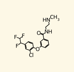 CNCCNC(=O)c1cccc(Oc2ccc(C(F)C(F)F)cc2Cl)c1